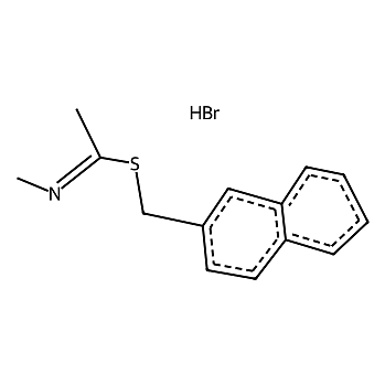 Br.CN=C(C)SCc1ccc2ccccc2c1